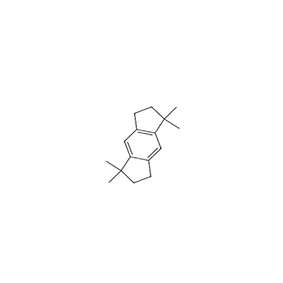 CC1(C)CCc2cc3c(cc21)CCC3(C)C